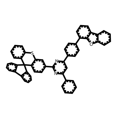 c1ccc(-c2cc(-c3ccc(-c4cccc5c4oc4ccccc45)cc3)nc(-c3ccc4c(c3)Sc3ccccc3C43c4ccccc4-c4ccccc43)n2)cc1